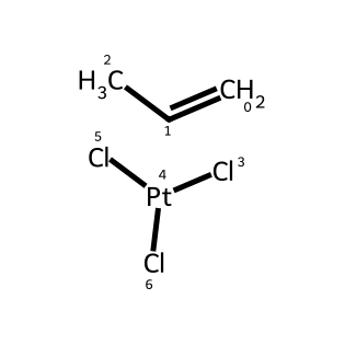 C=CC.[Cl][Pt]([Cl])[Cl]